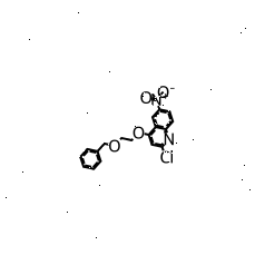 O=[N+]([O-])c1ccc2nc(Cl)cc(OCCOCc3ccccc3)c2c1